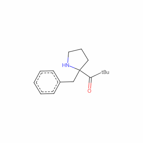 CC(C)(C)C(=O)C1(Cc2ccccc2)CCCN1